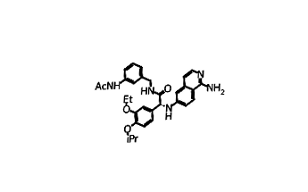 CCOc1cc([C@@H](Nc2ccc3c(N)nccc3c2)C(=O)NCc2cccc(NC(C)=O)c2)ccc1OC(C)C